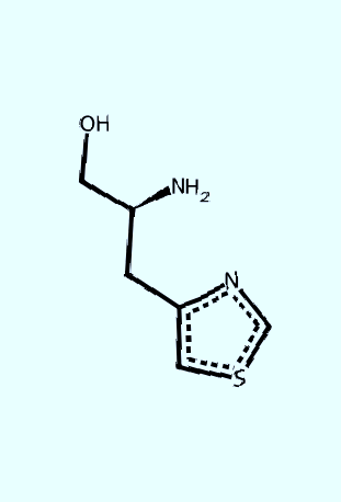 N[C@H](CO)Cc1cscn1